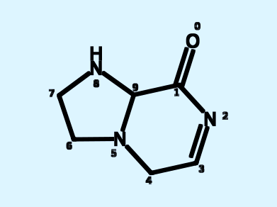 O=C1N=CCN2CCNC12